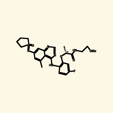 COCCNC(=O)[C@@H](C)Oc1cc(F)ccc1Nc1ncnc2cc(N=S3(=O)CCCC3)cc(C)c12